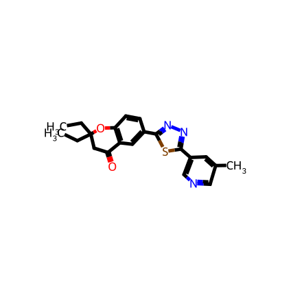 CCC1(CC)CC(=O)c2cc(-c3nnc(-c4cncc(C)c4)s3)ccc2O1